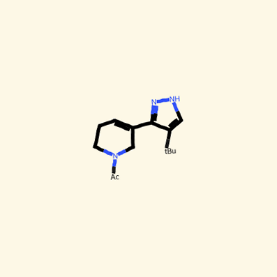 CC(=O)N1CCC=C(c2n[nH]cc2C(C)(C)C)C1